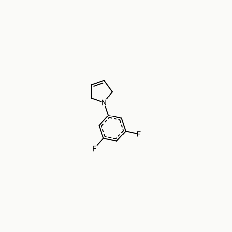 Fc1cc(F)cc(N2CC=CC2)c1